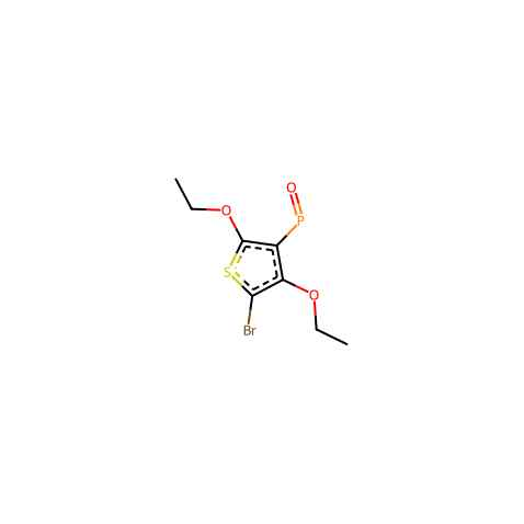 CCOc1sc(Br)c(OCC)c1P=O